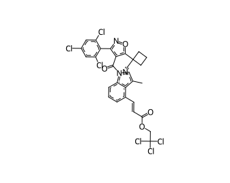 Cc1cn(C(=O)c2c(-c3c(Cl)cc(Cl)cc3Cl)noc2C2(C#N)CCC2)c2cccc(/C=C/C(=O)OCC(Cl)(Cl)Cl)c12